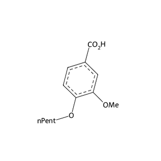 CCCCCOc1ccc(C(=O)O)cc1OC